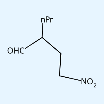 CCCC(C=O)CC[N+](=O)[O-]